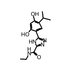 CCNC(=O)c1nnc(-c2cc(C(C)C)c(O)cc2O)[nH]1